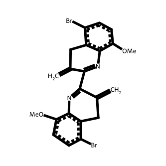 C=C1Cc2c(Br)ccc(OC)c2N=C1C1=Nc2c(OC)ccc(Br)c2CC1=C